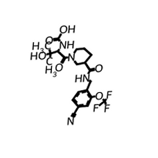 CC(C)(O)C(NC(=O)O)C(=O)N1CCCC(C(=O)NCc2ccc(C#N)cc2OC(F)(F)F)C1